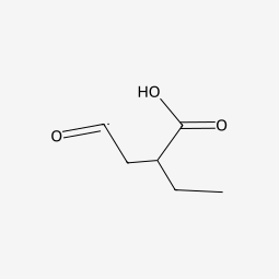 CCC(C[C]=O)C(=O)O